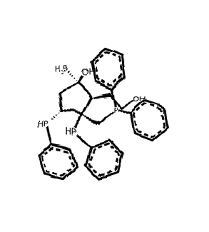 B[C@@]1(O)C[C@@H](Pc2ccccc2)[C@@](CP(c2ccccc2)c2ccccc2)(Pc2ccccc2)[C@@H]1CCO